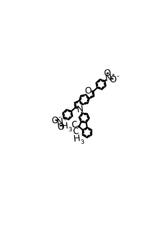 CC1(C)c2ccccc2-c2ccc(-n3c(-c4ccc([N+](=O)[O-])cc4)cc4cc5oc(-c6ccc([N+](=O)[O-])cc6)cc5cc43)cc21